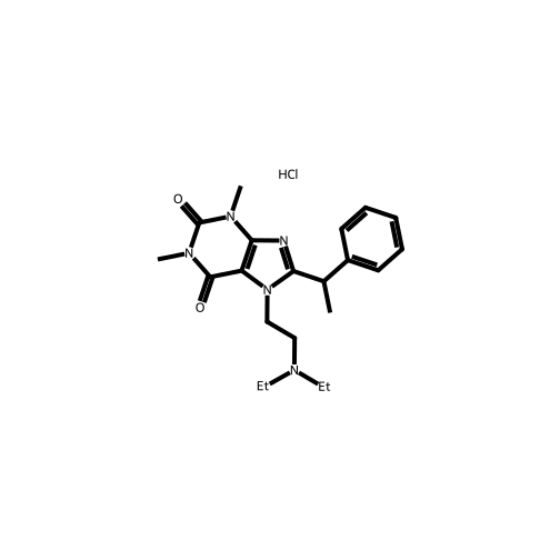 CCN(CC)CCn1c(C(C)c2ccccc2)nc2c1c(=O)n(C)c(=O)n2C.Cl